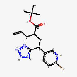 C=CCC(C[C@@H](c1ccc(Br)nc1)c1nn[nH]n1)C(=O)OC(C)(C)C